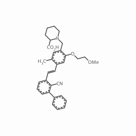 COCCOc1cc(/C=C/c2cccc(-c3ccccc3)c2C#N)c(C)cc1CN1CCCCC1C(=O)O